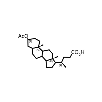 CC(=O)O[C@@H]1CC[C@@]2(C)C(CCC3C2CC[C@@]2(C)C3CCC2[C@H](C)CCC(=O)O)C1